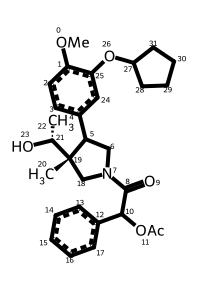 COc1ccc(C2CN(C(=O)C(OC(C)=O)c3ccccc3)C[C@]2(C)[C@@H](C)O)cc1OC1CCCC1